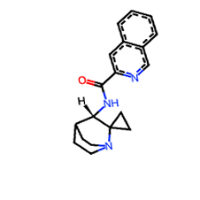 O=C(N[C@H]1C2CCN(CC2)C12CC2)c1cc2ccccc2cn1